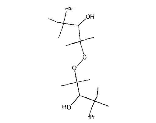 CCCC(C)(C)C(O)C(C)(C)OOC(C)(C)C(O)C(C)(C)CCC